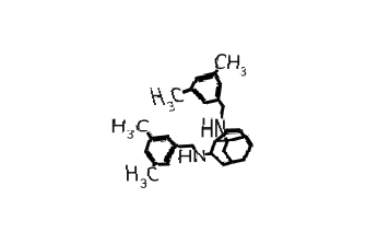 Cc1cc(C)cc(CNC2CC3CC4CCC2C(NCc2cc(C)cc(C)c2)(C4)C3)c1